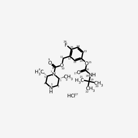 C[C@@H]1CNC[C@H](C)N1C(=O)OCc1cc(OC(=O)NC(C)(C)C)ccc1F.Cl